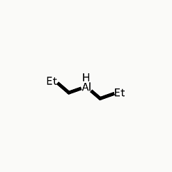 CC[CH2][AlH][CH2]CC